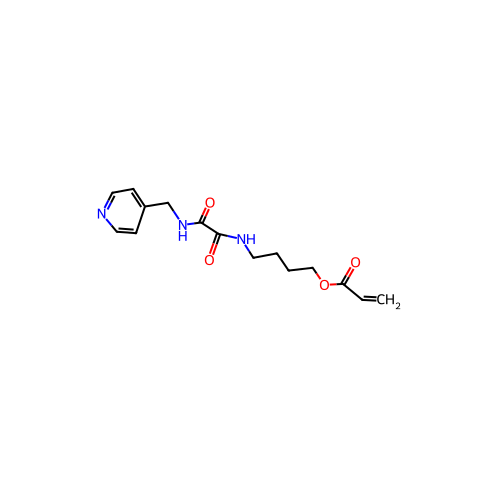 C=CC(=O)OCCCCNC(=O)C(=O)NCc1ccncc1